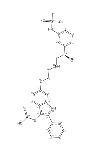 CS(=O)(=O)Nc1cccc([C@@H](O)CNCCOc2ccc3c(CC(=O)O)c(-c4ccccc4)[nH]c3c2)c1